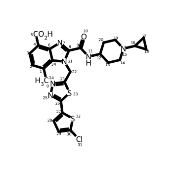 Cc1ccc(C(=O)O)c2nc(C(=O)NC3CCN(C4CC4)CC3)n(Cc3nnc(-c4ccc(Cl)s4)s3)c12